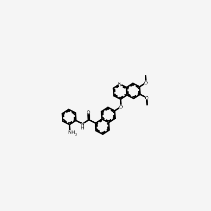 COc1cc2nccc(Oc3ccc4c(C(=O)Nc5ccccc5N)cccc4c3)c2cc1OC